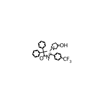 CN(C(=O)C(C)(c1ccccc1)c1ccccc1)[C@H](CN1CC[C@H](O)C1)c1ccc(C(F)(F)F)cc1